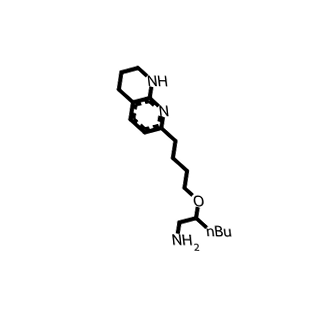 CCCCC(CN)OCCCCc1ccc2c(n1)NCCC2